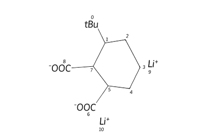 CC(C)(C)C1CCCC(C(=O)[O-])C1C(=O)[O-].[Li+].[Li+]